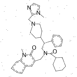 Cn1ccnc1CN1CCC(C(CN(Cc2cc3ccccc3n(C)c2=O)C(=O)C2CCCCC2)c2ccccc2)CC1